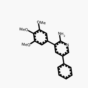 COc1cc(-c2cc(-c3ccccc3)cnc2N)cc(OC)c1OC